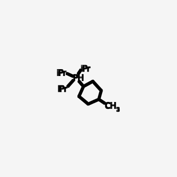 CC1CCC([PH](C(C)C)(C(C)C)C(C)C)CC1